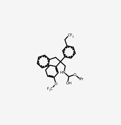 CC(C)OC(O)NCC(Cc1ccccc1)(C1=CC(OC(F)(F)F)=CCC1)c1cccc(CC(F)(F)F)c1